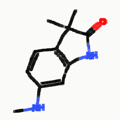 CNc1ccc2c(c1)NC(=O)C2(C)C